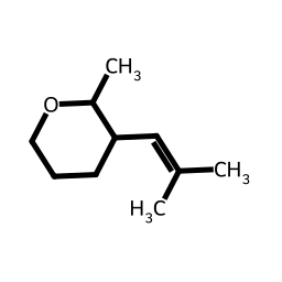 CC(C)=CC1CCCOC1C